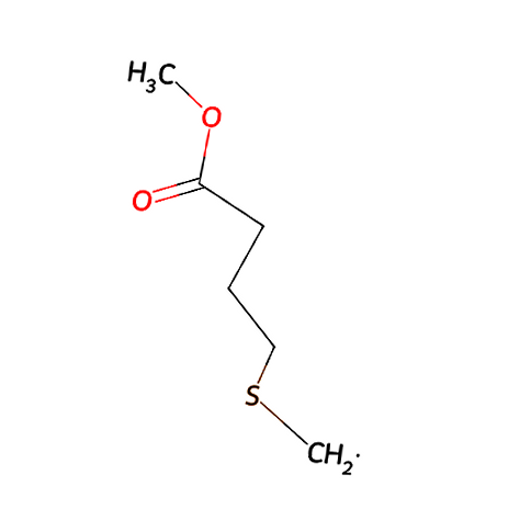 [CH2]SCCCC(=O)OC